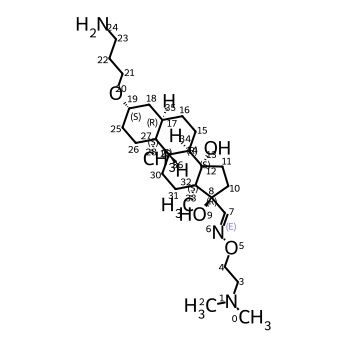 CN(C)CCO/N=C/[C@@]1(O)CC[C@]2(O)[C@@H]3CC[C@@H]4C[C@@H](OCCCN)CC[C@]4(C)[C@H]3CC[C@]12C